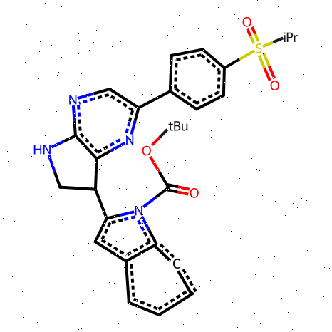 CC(C)S(=O)(=O)c1ccc(-c2cnc3c(n2)C(c2cc4ccccc4n2C(=O)OC(C)(C)C)CN3)cc1